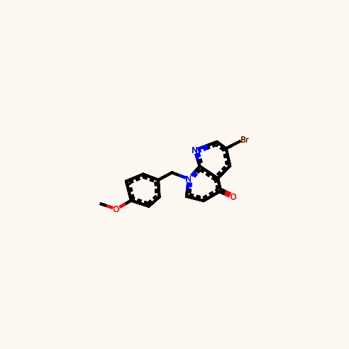 COc1ccc(Cn2ccc(=O)c3cc(Br)cnc32)cc1